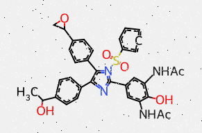 CC(=O)Nc1cc(-c2nc(-c3ccc(C(C)O)cc3)c(-c3ccc(C4CO4)cc3)n2S(=O)(=O)c2ccccc2)cc(NC(C)=O)c1O